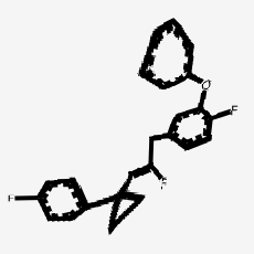 FC(=CC1(c2ccc(F)cc2)CC1)Cc1ccc(F)c(Oc2ccccc2)c1